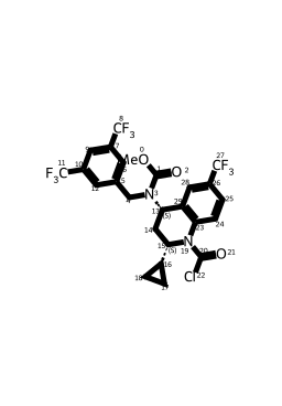 COC(=O)N(Cc1cc(C(F)(F)F)cc(C(F)(F)F)c1)[C@H]1C[C@@H](C2CC2)N(C(=O)Cl)c2ccc(C(F)(F)F)cc21